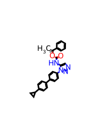 C[C@@H](OC(=O)Nc1cnnn1-c1ccc(-c2ccc(C3CC3)cc2)cc1)c1ccccc1